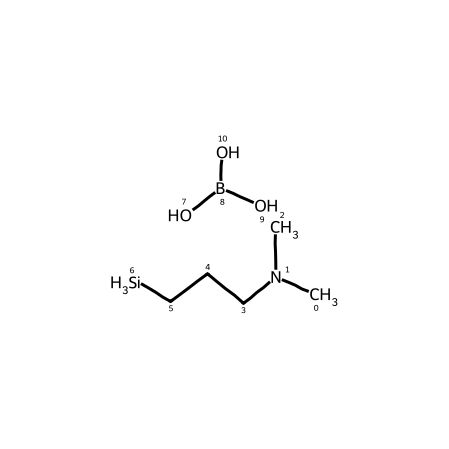 CN(C)CCC[SiH3].OB(O)O